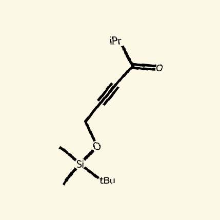 CC(C)C(=O)C#CCO[Si](C)(C)C(C)(C)C